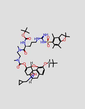 Cc1c(C)c(S(=O)(=O)NC(=N)NCCC[C@H](NC(=O)OC(C)(C)C)C(=O)N(C)CCN(C)C(=O)OC2=CC[C@@]3(O)[C@H]4Cc5ccc(O[Si](C)(C)C(C)(C)C)c6c5[C@@]3(CCN4CC3CC3)[C@H]2O6)c(C)c2c1OC(C)(C)C2